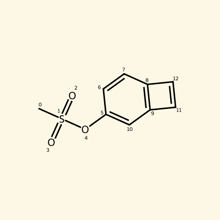 CS(=O)(=O)Oc1ccc2c(c1)C=C2